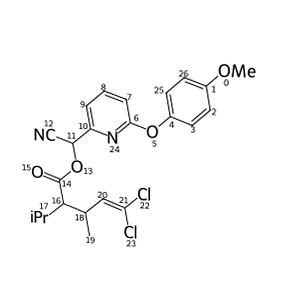 COc1ccc(Oc2cccc(C(C#N)OC(=O)C(C(C)C)C(C)C=C(Cl)Cl)n2)cc1